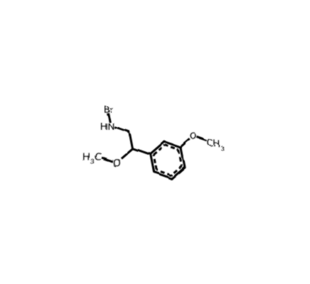 COc1cccc(C(CNBr)OC)c1